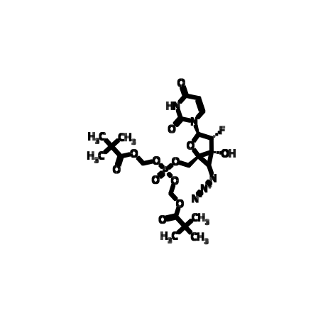 CC(C)(C)C(=O)OCOP(=O)(OCOC(=O)C(C)(C)C)OC[C@@]12O[C@@H](n3ccc(=O)[nH]c3=O)[C@H](F)[C@@]1(O)C2N=[N+]=[N-]